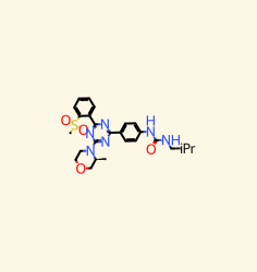 CC(C)CNC(=O)Nc1ccc(-c2nc(-c3ccccc3S(C)(=O)=O)nc(N3CCOC[C@@H]3C)n2)cc1